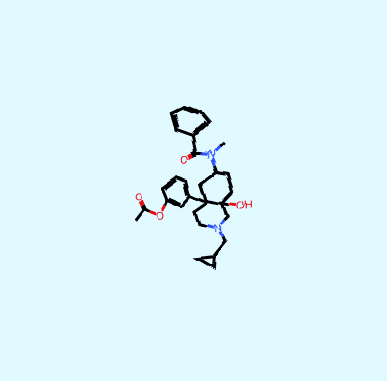 CC(=O)Oc1cccc(C23CCN(CC4CC4)CC2(O)CCC(N(C)C(=O)c2ccccc2)C3)c1